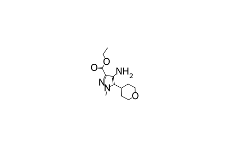 CCOC(=O)c1nn(C)c(C2CCOCC2)c1N